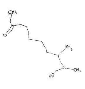 CC(O)C(N)CCCCC(=O)O